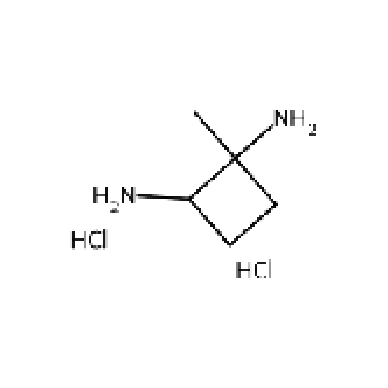 CC1(N)CCC1N.Cl.Cl